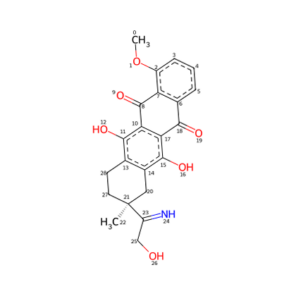 COc1cccc2c1C(=O)c1c(O)c3c(c(O)c1C2=O)C[C@@](C)(C(=N)CO)CC3